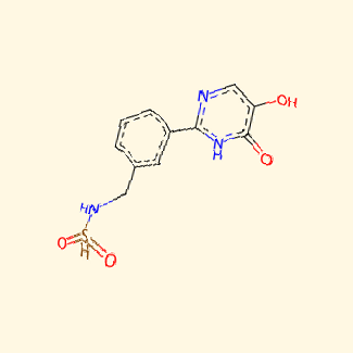 O=c1[nH]c(-c2cccc(CN[SH](=O)=O)c2)ncc1O